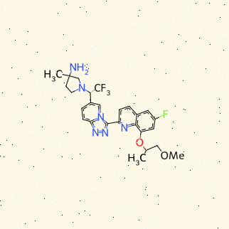 COCC(C)Oc1cc(F)cc2ccc(-c3nnc4ccc([C@H](N5CCC(C)(N)C5)C(F)(F)F)cn34)nc12